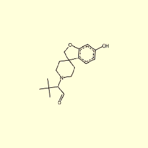 CC(C)(C)C(C=O)N1CCC2(CC1)COc1cc(O)ccc12